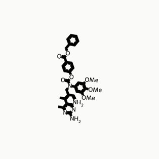 C=C/C(CN(C(=O)Oc1ccc(C(=O)OCc2ccccc2)cc1)c1cc(OC)c(OC)c(OC)c1)=C(/C)c1c(C)nc(N)nc1N